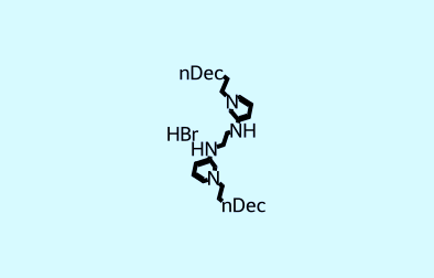 Br.CCCCCCCCCCCCN1C=CC=C(NCCNC2=CC=CN(CCCCCCCCCCCC)C2)C1